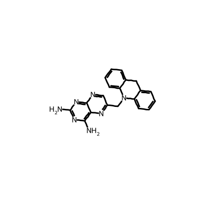 Nc1nc(N)c2nc(CN3c4ccccc4Cc4ccccc43)cnc2n1